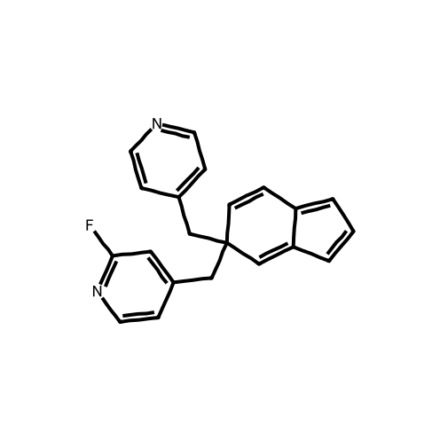 Fc1cc(CC2(Cc3ccncc3)C=CC3=CC=CC3=C2)ccn1